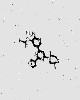 C[C@H]1CN(c2cc(-c3cnc(N)c(OC(F)F)c3)nc(C3CCOC3)n2)[C@@H](C)CS1